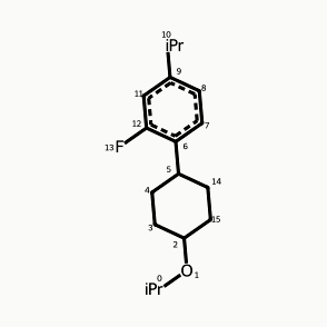 CC(C)OC1CCC(c2ccc(C(C)C)cc2F)CC1